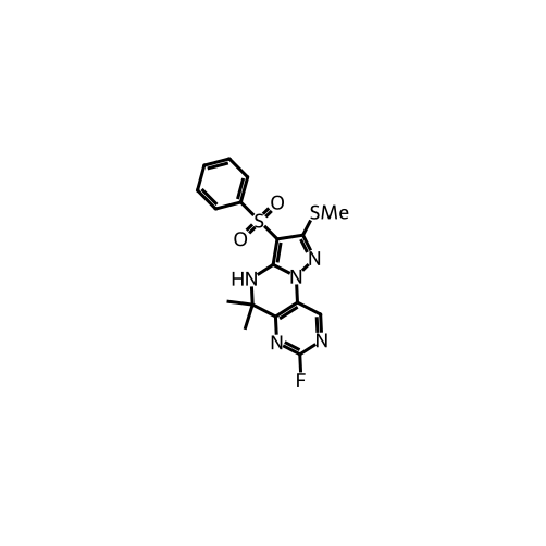 CSc1nn2c(c1S(=O)(=O)c1ccccc1)NC(C)(C)c1nc(F)ncc1-2